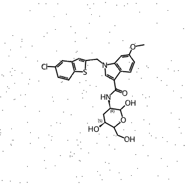 COc1ccc2c(C(=O)N[C@@H]3C[C@H](O)C(CO)OC3O)cn(Cc3cc4cc(Cl)ccc4s3)c2c1